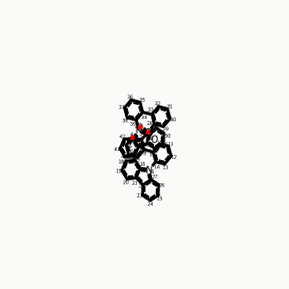 O=S(=O)(c1ccccc1-c1ccccc1-n1c2ccccc2c2ccccc21)c1ccccc1-c1ccccc1-n1c2ccccc2c2ccccc21